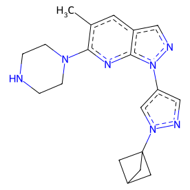 Cc1cc2cnn(-c3cnn(C45CC(C4)C5)c3)c2nc1N1CCNCC1